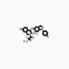 C[C@H]1[C@H](Oc2ccc3c(cnn3-c3ccc(F)cc3)c2)c2ccc(F)cc2CN1C(=O)C(C)(F)F